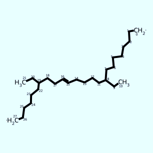 [CH2]CCCCCCCC(CC)CCCC/C=C/CCC(CC)CCCCC[CH2]